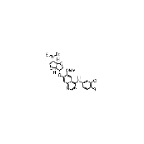 CCN(CC)[C@H]1CO[C@H]2[C@@H]1OC[C@@H]2Oc1cc2ncnc(Nc3ccc(Br)c(Cl)c3)c2cc1OC